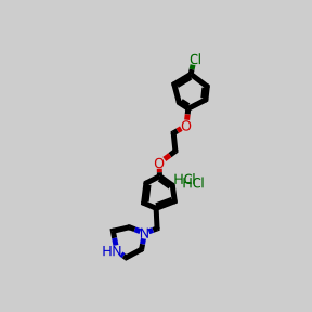 Cl.Cl.Clc1ccc(OCCOc2ccc(CN3CCNCC3)cc2)cc1